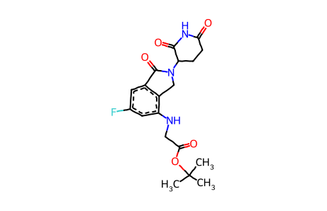 CC(C)(C)OC(=O)CNc1cc(F)cc2c1CN(C1CCC(=O)NC1=O)C2=O